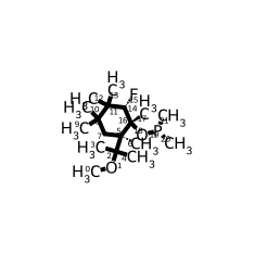 COC(C)(C)[C@@]1(C)CC(C)(C)C(C)(C)[C@H](F)[C@]1(C)OP(C)C